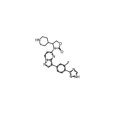 O=C1OCC(C2CCNCC2)N1c1ccn2ncc(-c3ccc(-c4nc[nH]n4)c(F)c3)c2n1